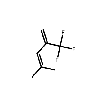 C=C(C=C(C)C)C(F)(F)F